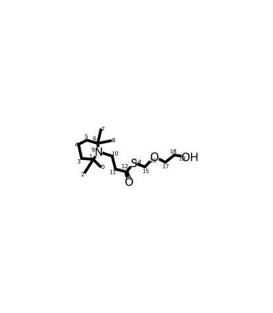 CC1(C)CCCC(C)(C)N1CCC(=O)SCOCCO